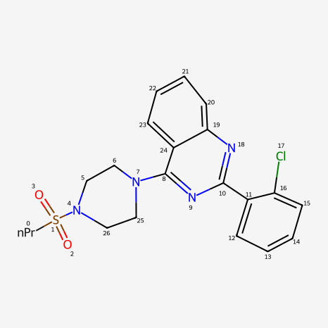 CCCS(=O)(=O)N1CCN(c2nc(-c3ccccc3Cl)nc3ccccc23)CC1